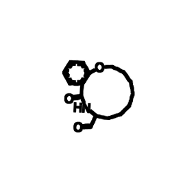 O=CC1CCCCCCCOc2ccccc2C(=O)N1